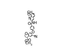 COC(=O)C1CCOc2cc(Oc3ccc(C(=O)Nc4cnc5c(OC)cccc5c4)cc3)c(C#N)cc21